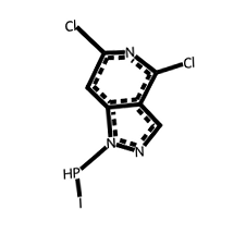 Clc1cc2c(cnn2PI)c(Cl)n1